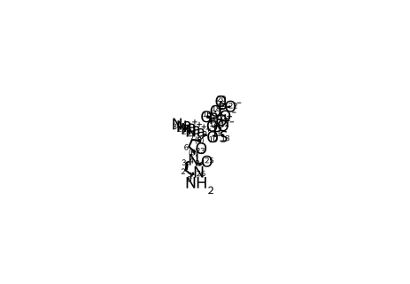 Nc1ccn([C@H]2CC[C@@H](COP([O-])(=S)OP(=O)([O-])OP(=O)([O-])[O-])O2)c(=O)n1.[Na+].[Na+].[Na+].[Na+]